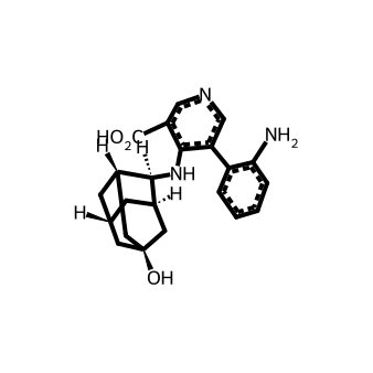 Nc1ccccc1-c1cncc(C(=O)O)c1N[C@H]1[C@@H]2C[C@H]3C[C@H]1C[C@@](O)(C3)C2